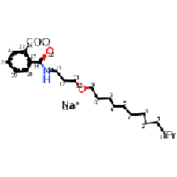 CC(C)CCCCCCCCCOCCCNC(=O)c1ccccc1C(=O)[O-].[Na+]